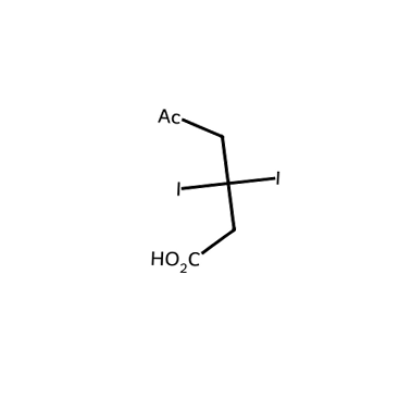 CC(=O)CC(I)(I)CC(=O)O